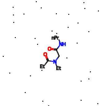 CCCNC(=O)CN(CC)C(=O)CC